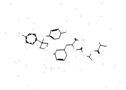 CC(OC(=O)NC(CC1CC=CC([S+]([O-])N2CC(OC3=CCC(F)C=C3)(c3ccc(F)cc3)C2)C1)C(=O)O)OC(=O)C(C)C